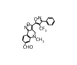 CN1Cc2c(noc2-c2onc(-c3ccccc3)c2C(F)(F)F)-c2ccc(C=O)cc21